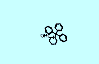 O=CC1CCCCN1C(c1ccccc1)(c1ccccc1)c1ccccc1